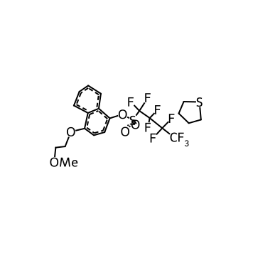 C1CCSC1.COCCOc1ccc(OS(=O)(=O)C(F)(F)C(F)(F)C(F)(F)C(F)(F)F)c2ccccc12